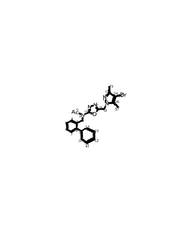 CC(=O)N(Cc1ccccc1-c1ccccc1)c1nnc(Cn2nc(C)c(Br)c2C)o1